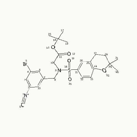 [C-]#[N+]c1cc(Br)cc(CN(CC(=O)OC(C)(C)C)S(=O)(=O)c2ccc3c(c2)CCC(C)(C)O3)c1